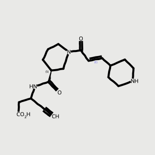 C#CC(CC(=O)O)NC(=O)[C@H]1CCCN(C(=O)/C=C/C2CCNCC2)C1